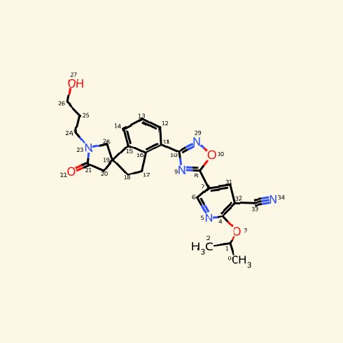 CC(C)Oc1ncc(-c2nc(-c3cccc4c3CCC43CC(=O)N(CCCO)C3)no2)cc1C#N